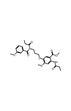 CCC(=O)Nc1cc(OC)c(OCCCN(C(=O)CC)C(=O)c2cccc(OC)c2)cc1C(=O)OC